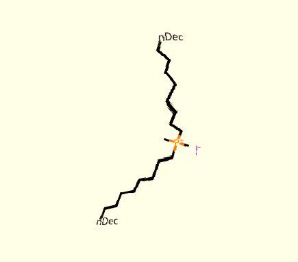 CCCCCCCCCCCCCCCCCC[P+](C)(C)CCCCCCCCCCCCCCCCCC.[I-]